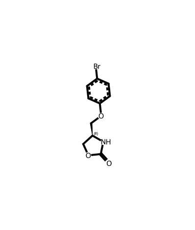 O=C1N[C@H](COc2ccc(Br)cc2)CO1